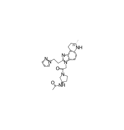 CC(=O)N[C@@H]1CCN(C(=O)Cn2c(CCn3cccn3)nc3c4c(ccc32)N[C@@H](C)CC4)C1